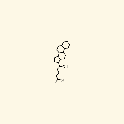 CC(S)CCCC(S)C1CCC2C1CCC1C3CCCCC3CCC12